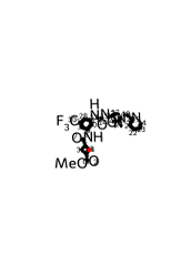 COC(=O)C12CC(C(=O)Nc3cc(NC(=O)[N-]c4c[n+](Cc5ccccn5)no4)cc(C(F)(F)F)c3)(C1)C2